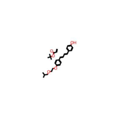 C=CC(=O)OC(C)(C)C.CC(C)COCCOc1ccc(C=CC=Cc2ccc(O)cc2)cc1